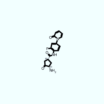 N[C@H]1C[C@@H](C(=O)Nc2ccc(-n3ccccc3=O)cc2F)CC1=O